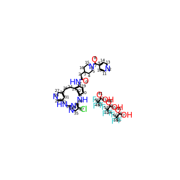 O=C(CC1CCN(C(=O)c2ccncc2)CC1)Nc1ccc2cc1CCc1cncc(c1)Nc1ncc(Cl)c(n1)N2.O=C(O)C(F)(F)F.O=C(O)C(F)(F)F.O=C(O)C(F)(F)F